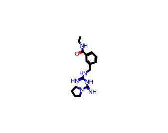 CCNC(=O)c1cccc(CNC(=N)NC(=N)N2CCCC2)c1